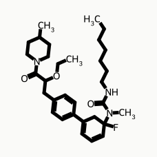 CCCCCCCNC(=O)N(C)C1(F)C=CC=C(c2ccc(CC(OCC)C(=O)N3CCC(C)CC3)cc2)C1